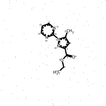 CCOC(=O)c1cc(C)n(-c2ncccn2)n1